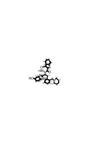 CCCCN(C(=O)c1sc2ccccc2c1Cl)C(Cc1ccccc1CN1CCCCC1)c1nc2cc(C#N)ccc2[nH]1